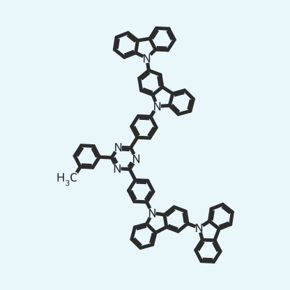 Cc1cccc(-c2nc(-c3ccc(-n4c5ccccc5c5cc(-n6c7ccccc7c7ccccc76)ccc54)cc3)nc(-c3ccc(-n4c5ccccc5c5cc(-n6c7ccccc7c7ccccc76)ccc54)cc3)n2)c1